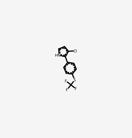 FC(F)(F)Sc1ccc(-c2[nH]ccc2Cl)cc1